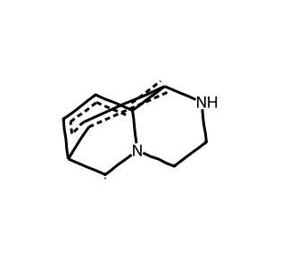 [CH]1c2ccc3c(c2)NCCN13